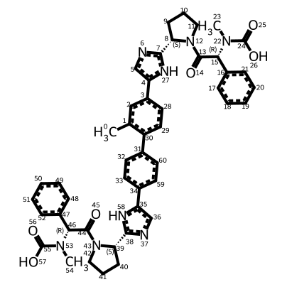 Cc1cc(-c2cnc([C@@H]3CCCN3C(=O)[C@@H](c3ccccc3)N(C)C(=O)O)[nH]2)ccc1-c1ccc(-c2cnc([C@@H]3CCCN3C(=O)[C@@H](c3ccccc3)N(C)C(=O)O)[nH]2)cc1